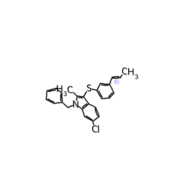 C/C=C/c1cccc(Sc2c(C)n(Cc3ccccc3)c3cc(Cl)ccc23)c1